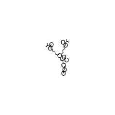 C=C(C)C(=O)OCCCCc1cc(CCCCOC(=O)C(=C)C)c2oc(=O)c(-c3ccc(OC=O)cc3)cc2c1